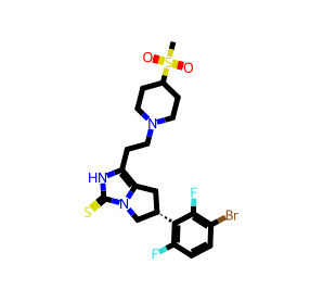 CS(=O)(=O)C1CCN(CCc2[nH]c(=S)n3c2C[C@H](c2c(F)ccc(Br)c2F)C3)CC1